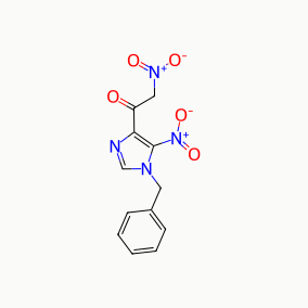 O=C(C[N+](=O)[O-])c1ncn(Cc2ccccc2)c1[N+](=O)[O-]